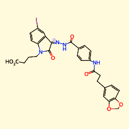 O=C(O)CCCN1C(=O)/C(=N\NC(=O)c2ccc(NC(=O)CCc3ccc4c(c3)OCO4)cc2)c2cc(I)ccc21